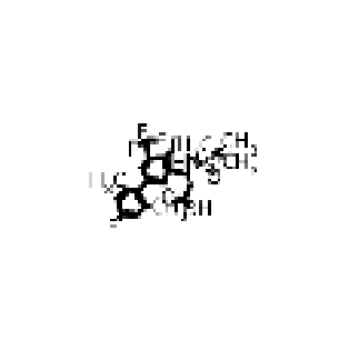 Cc1cc(F)cc(C)c1-c1cc([C@H](CC(=O)O)N[S+]([O-])C(C)(C)C)c(F)c(C(F)(F)F)c1